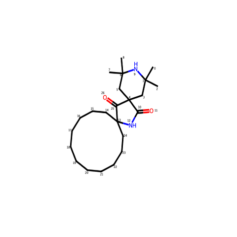 CC1(C)CC2(CC(C)(C)N1)C(=O)NC1(CCCCCCCCCCC1)C2=O